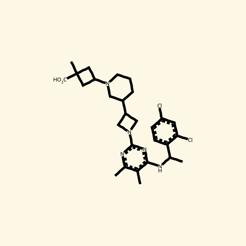 Cc1nc(N2CC(C3CCCN(C4CC(C)(C(=O)O)C4)C3)C2)nc(NC(C)c2ccc(Cl)cc2Cl)c1C